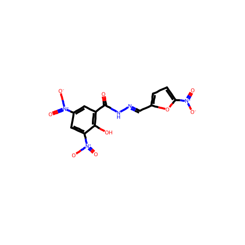 O=C(N/N=C/c1ccc([N+](=O)[O-])o1)c1cc([N+](=O)[O-])cc([N+](=O)[O-])c1O